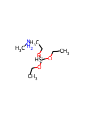 CCO[SiH](OCC)OCC.CN